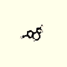 N#Cc1ccc2c(c1)OCCc1sc(Br)cc1-2